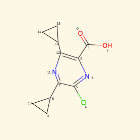 O=C(O)c1nc(Cl)c(C2CC2)nc1C1CC1